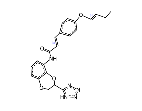 CC/C=C/Oc1ccc(/C=C/C(=O)Nc2cccc3c2OC(c2nnn[nH]2)CO3)cc1